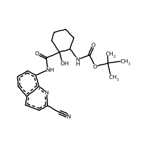 CC(C)(C)OC(=O)NC1CCCCC1(O)C(=O)Nc1cccc2ccc(C#N)nc12